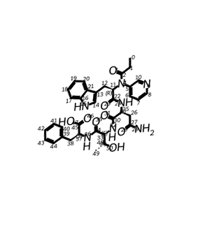 CCC(=O)N(c1cccnc1)[C@H](Cc1c[nH]c2ccccc12)C(=O)N[C@@H](CC(N)=O)C(=O)N[C@H](C(=O)N[C@@H](Cc1ccccc1)C(=O)O)[C@@H](C)O